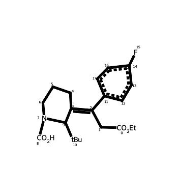 CCOC(=O)CC(=C1CCCN(C(=O)O)C1C(C)(C)C)c1ccc(F)cc1